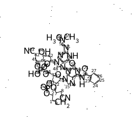 C=CCOP(=O)(OCCC#N)O[C@H]1C[C@H](n2cnc3c(NC(=O)c4ccccc4)ncnc32)O[C@@H]1COP(=O)(O)OC(CCC#N)[C@H]1O[C@@H](n2cnc3c(=O)[nH]c(N=CN(C)C)nc32)C[C@@H]1O